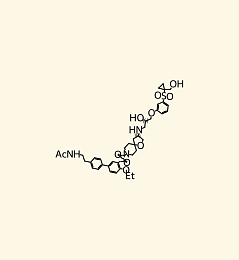 CCOc1ccc(-c2ccc(CCNC(C)=O)cc2)cc1S(=O)(=O)N1CCC2(CC1)C[C@@H](NC[C@H](O)COc1cccc(S(=O)(=O)C3(CO)CC3)c1)CO2